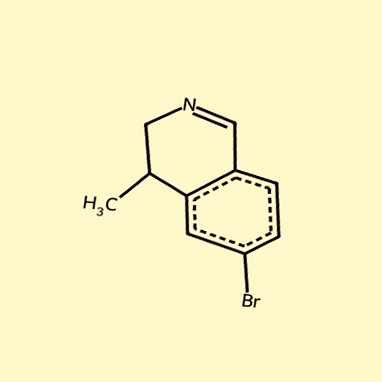 CC1CN=Cc2ccc(Br)cc21